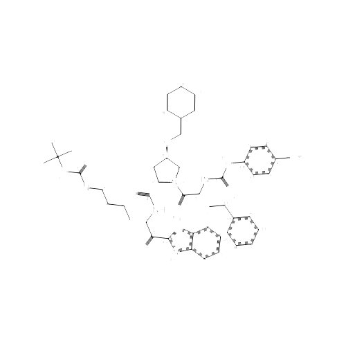 CC(C)(C)OC(=O)NCCCC[C@H](NC(=O)[C@@H]1C[C@@H](OCC2CCCCC2)CN1C(=O)[C@@H](CCc1ccccc1)NC(=O)Oc1ccc(F)cc1)C(=O)c1nc2ccccc2o1